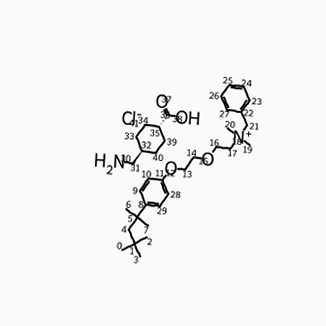 CC(C)(C)CC(C)(C)c1ccc(OCCOCC[N+](C)(C)Cc2ccccc2)cc1.NC[C@H]1CC[C@H](C(=O)O)CC1.[Cl-]